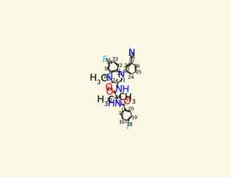 CN1C(=O)[C@H](NC(=O)C(C)(C)NC(=O)c2ccc(F)cc2)CN(c2cccc(C#N)c2)c2ccc(F)cc21